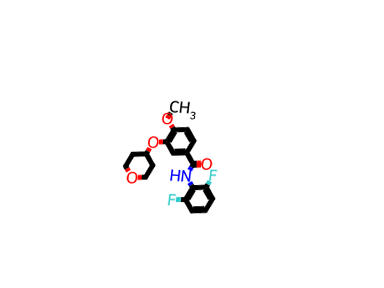 COc1ccc(C(=O)Nc2c(F)cccc2F)cc1OC1CCOCC1